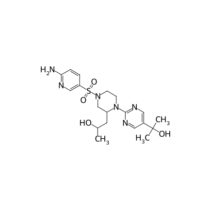 CC(O)CC1CN(S(=O)(=O)c2ccc(N)nc2)CCN1c1ncc(C(C)(C)O)cn1